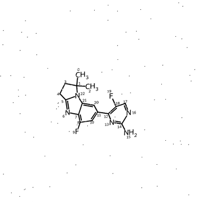 CC1(C)CCc2nc3c(F)cc(-c4nc(N)ncc4F)cc3n21